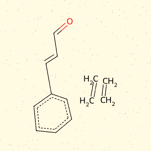 C=C.C=C.O=CC=Cc1ccccc1